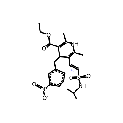 CCOC(=O)C1=C(C)NC(C)=C(/C=C/S(=O)(=O)NC(C)C)C1Cc1cccc([N+](=O)[O-])c1